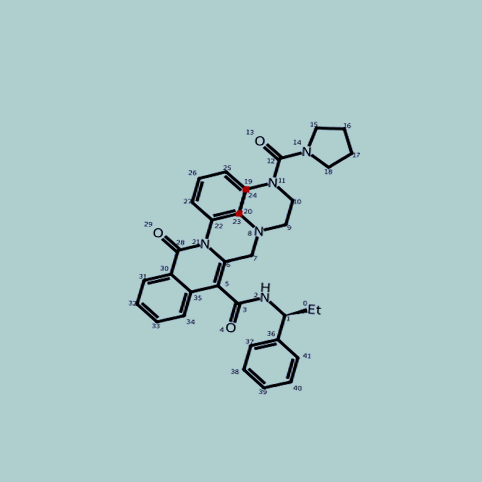 CC[C@H](NC(=O)c1c(CN2CCN(C(=O)N3CCCC3)CC2)n(-c2ccccc2)c(=O)c2ccccc12)c1ccccc1